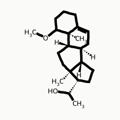 COC1CCCC2=CC[C@H]3[C@@H]4CC[C@H](C(C)O)[C@@]4(C)CC[C@@H]3[C@]21C